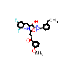 CCc1cccc(CNC[C@H](O)C(Cc2cc(F)cc(F)c2)NC(=O)CCC(=O)c2cccc(OC)c2)c1